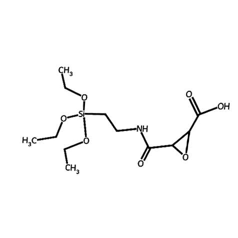 CCO[Si](CCNC(=O)C1OC1C(=O)O)(OCC)OCC